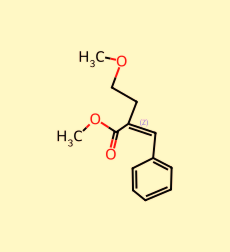 COCC/C(=C/c1ccccc1)C(=O)OC